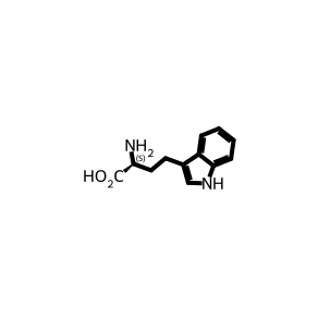 N[C@@H](CCc1c[nH]c2ccccc12)C(=O)O